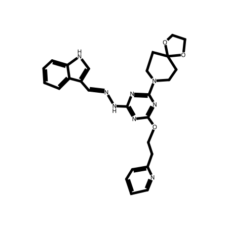 C(=N\Nc1nc(OCCc2ccccn2)nc(N2CCC3(CC2)OCCO3)n1)/c1c[nH]c2ccccc12